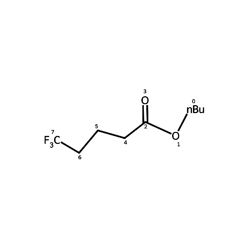 CCCCOC(=O)CCCC(F)(F)F